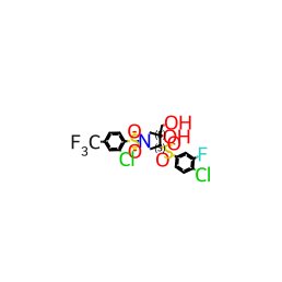 O=S(=O)(c1ccc(Cl)c(F)c1)[C@H]1CN(S(=O)(=O)c2ccc(C(F)(F)F)cc2Cl)C[C@]1(O)CO